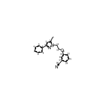 Cc1cc(-c2ccccc2)nn1CCOc1[c]c(C#N)ccc1